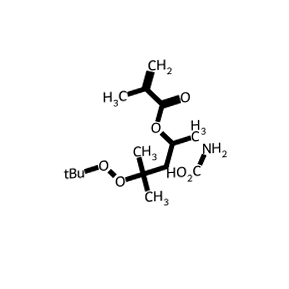 C=C(C)C(=O)OC(C)CC(C)(C)OOC(C)(C)C.NC(=O)O